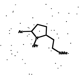 CCCN1C(CCNC)CCC1C(C)=O